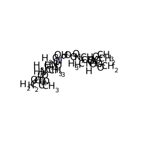 C=CC(=O)OCC(COC(=O)C(=C)C)OC(=O)NCCC(C)(C)CC(C)CNC(=O)OCCOc1ccc(/C(=N/OC(=O)NCC(C)CC(C)(C)CCNC(=O)OC(COC(=O)C=C)COC(=O)C(=C)C)C(C)O)cc1